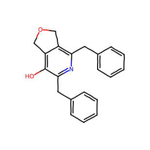 Oc1c(Cc2ccccc2)nc(Cc2ccccc2)c2c1COC2